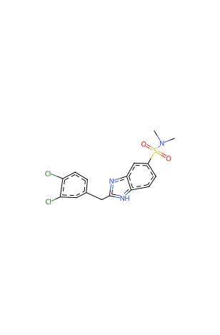 CN(C)S(=O)(=O)c1ccc2[nH]c(Cc3ccc(Cl)c(Cl)c3)nc2c1